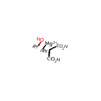 CC(C)O.CC[CH2][Mg+2].O=C(O)CC(=O)O